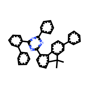 CC1(C)c2cc(-c3ccccc3)ccc2-c2c(-c3nc(-c4ccccc4)nc(-c4ccccc4-c4ccccc4)n3)cccc21